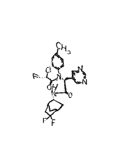 Cc1ccc(N(C(=O)[C@H](F)Cl)[C@@H](C(=O)N[C@@H]2CC3CC2CC3(F)F)c2cncnc2)cc1